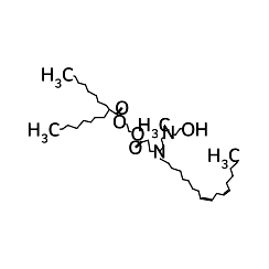 CCCCC/C=C\C/C=C\CCCCCCCCN(CCC(=O)OCCOC(=O)C(CCCCCCCC)CCCCCCCC)CCN(C)CCO